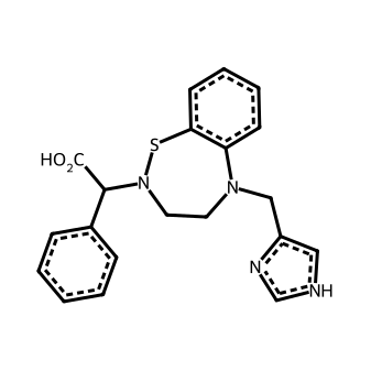 O=C(O)C(c1ccccc1)N1CCN(Cc2c[nH]cn2)c2ccccc2S1